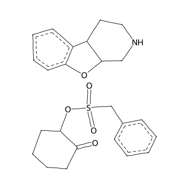 O=C1CCCCC1OS(=O)(=O)Cc1ccccc1.c1ccc2c(c1)OC1CNCCC21